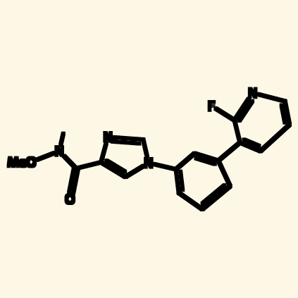 CON(C)C(=O)c1cn(-c2cccc(-c3cccnc3F)c2)cn1